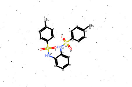 CC(C)(C)c1ccc(S(=O)(=O)Nc2ccccc2NS(=O)(=O)c2ccc(C(C)(C)C)cc2)cc1